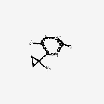 NC1(c2nc(Cl)ncc2Br)CC1